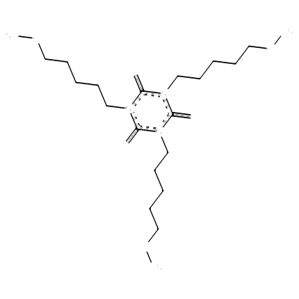 N#COCCCCCn1c(=O)n(CCCCCOC#N)c(=O)n(CCCCCOC#N)c1=O